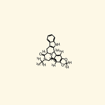 [2H]c1c([2H])c([C@]2([2H])c3[nH]c4ccccc4c3C[C@@H]3C(=O)N(C([2H])([2H])[2H])CC(=O)N32)c([2H])c2c1OC([2H])([2H])O2